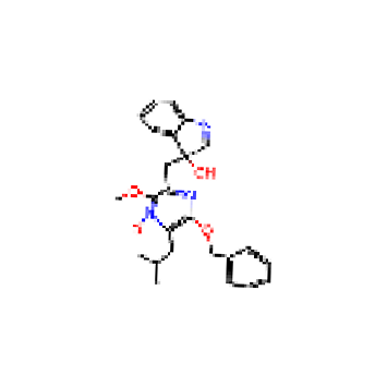 COc1c(CC2(O)C=Nc3ccccc32)nc(OCc2ccccc2)c(CC(C)C)[n+]1[O-]